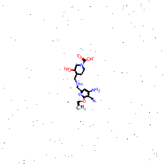 CCOc1nc(CNCC2CCN(C(=O)O)CC2O)cc(N)c1C#N